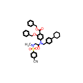 CN(CC(=O)N(Cc1ccc(C2CCCCC2)cc1)c1ccc(C(=O)OCc2ccccc2)c(OCc2ccccc2)c1)S(=O)(=O)c1ccc(C#N)cc1